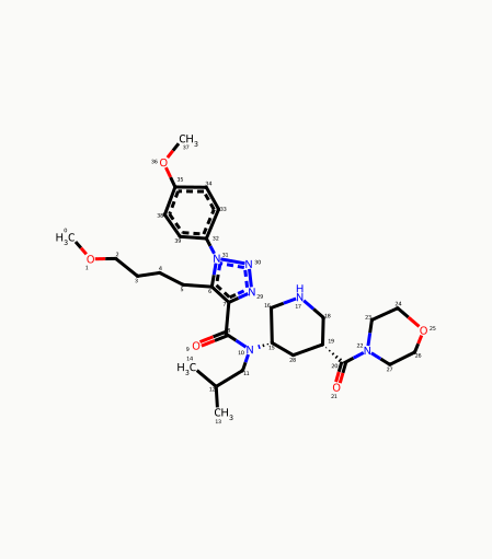 COCCCCc1c(C(=O)N(CC(C)C)[C@@H]2CNC[C@H](C(=O)N3CCOCC3)C2)nnn1-c1ccc(OC)cc1